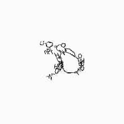 CCCc1cc(Cl)ccc1[C@@H]1COc2ccc3cc2N(C1)C[C@@H]1CC[C@H]1[C@](O)(COCCN(C)C)CCC[C@H](C)[C@@H](C)S(=O)(=O)NC3=O